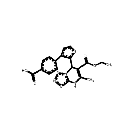 CCOC(=O)C1=C(C)Nc2nnnn2C1c1sccc1-c1ccc(C(=O)O)cc1